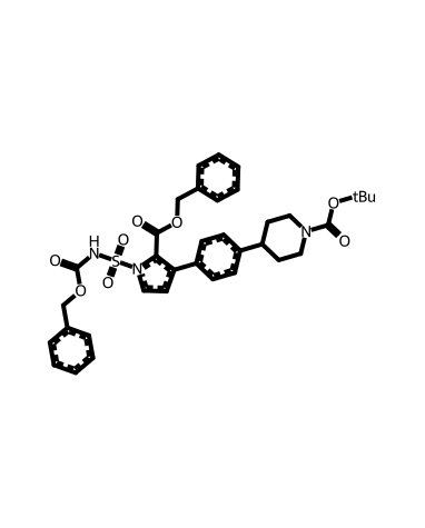 CC(C)(C)OC(=O)N1CCC(c2ccc(-c3ccn(S(=O)(=O)NC(=O)OCc4ccccc4)c3C(=O)OCc3ccccc3)cc2)CC1